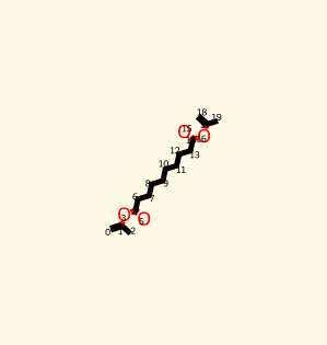 C=C(C)OC(=O)CCCCCCCCC(=O)OC(=C)C